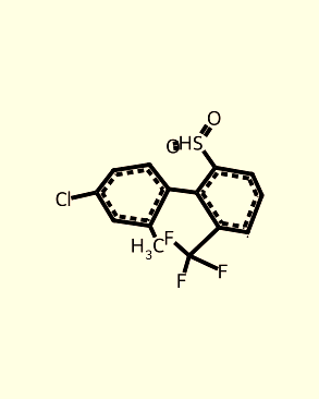 Cc1cc(Cl)ccc1-c1c(C(F)(F)F)[c]ccc1[SH](=O)=O